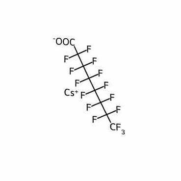 O=C([O-])C(F)(F)C(F)(F)C(F)(F)C(F)(F)C(F)(F)C(F)(F)C(F)(F)F.[Cs+]